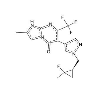 Cc1cn2c(=O)c(-c3cnn(C[C@H]4CC4(C)F)c3)c(C(F)(F)F)nc2[nH]1